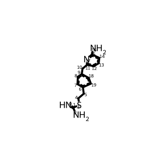 N=C(N)SCCc1ccc(Cc2cccc(N)n2)cc1